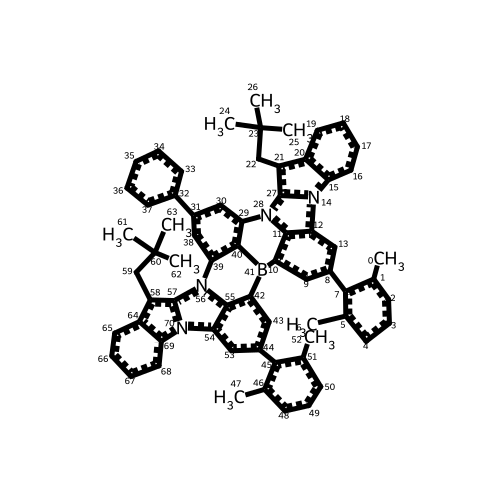 Cc1cccc(C)c1-c1cc2c3c(c1)n1c4ccccc4c(CC(C)(C)C)c1n3-c1cc(-c3ccccc3)cc3c1B2c1cc(-c2c(C)cccc2C)cc2c1n-3c1c(CC(C)(C)C)c3ccccc3n21